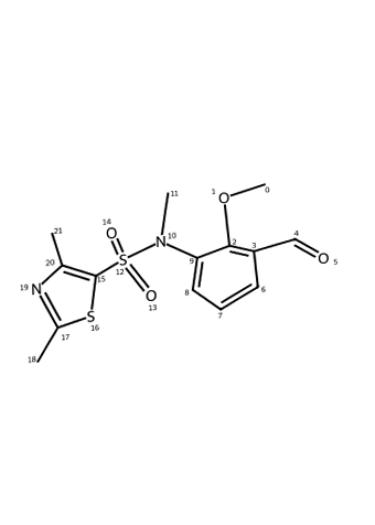 COc1c(C=O)cccc1N(C)S(=O)(=O)c1sc(C)nc1C